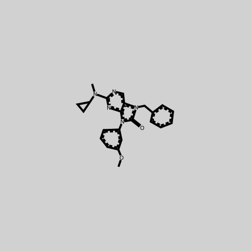 COc1cccc(-n2c(=O)n(Cc3ccccc3)c3cnc(N(C)C4CC4)nc32)c1